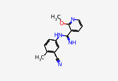 COc1ncccc1C(=N)Nc1ccc(C)c(C#N)c1